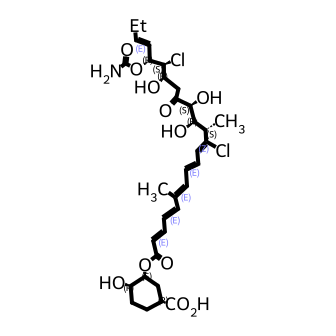 CC/C=C/[C@@H](OC(N)=O)[C@@H](Cl)[C@H](O)CC(=O)[C@@H](O)[C@H](O)[C@H](C)/C(Cl)=C/C=C/C=C(C)/C=C/C=C/C(=O)O[C@H]1C[C@H](C(=O)O)CC[C@H]1O